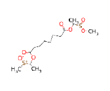 COS(=O)C(C)OC(=O)CCCCCCC(=O)OC(C)[S+](C)[O-]